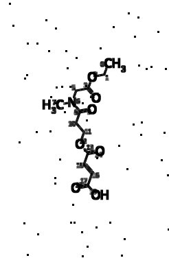 CCOC(=O)CN(C)C(=O)CCOC(=O)C=CC(=O)O